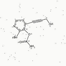 CCCCc1nccc(C#CCO)c1OC(N)=O